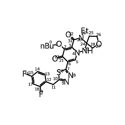 CCCCOc1c2n(cc(-c3nnc(Cc4ccc(F)cc4F)s3)c1=O)NC1(CCOC1)N(CC)C2=O